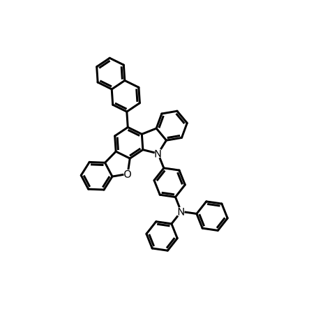 c1ccc(N(c2ccccc2)c2ccc(-n3c4ccccc4c4c(-c5ccc6ccccc6c5)cc5c6ccccc6oc5c43)cc2)cc1